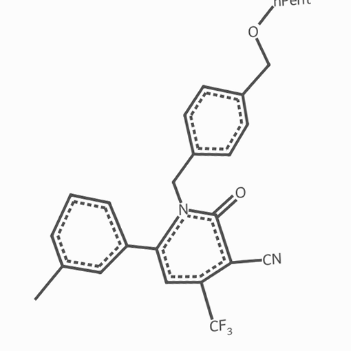 CCCCCOCc1ccc(Cn2c(-c3cccc(C)c3)cc(C(F)(F)F)c(C#N)c2=O)cc1